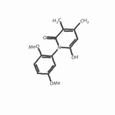 COc1ccc(OC)c(-n2c(O)cc(C)c(C)c2=O)c1